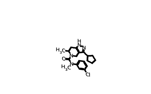 CC1Cc2[nH]nc(C3CCCC3)c2CN1C(=O)N(C)c1cccc(Cl)c1